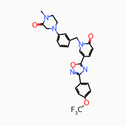 CN1CCN(c2cccc(Cn3cc(-c4nc(-c5ccc(OC(F)(F)F)cc5)no4)ccc3=O)c2)CC1=O